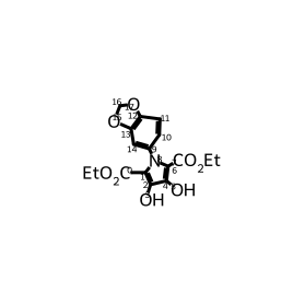 CCOC(=O)c1c(O)c(O)c(C(=O)OCC)n1-c1ccc2c(c1)OCO2